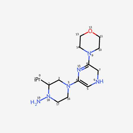 CC(C)C1CN(C2=CNCC(N3CCOCC3)=N2)CCN1N